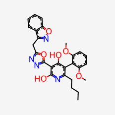 CCCCc1nc(O)c(-c2nnc(Cc3noc4ccccc34)o2)c(O)c1-c1c(OC)cccc1OC